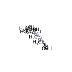 C/C(=C\CC/C(C)=C/CCC1(C)CCc2cc(O)c(C)c(C)c2O1)CCC=C(CO)CO